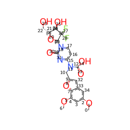 COc1cc(OC)c2oc(CN(C(=O)O)c3ccn([C@@H]4O[C@H](CO)[C@@H](O)C4(F)F)c(=O)n3)cc2c1